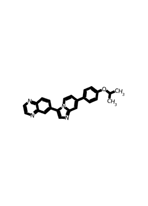 CC(C)Oc1ccc(-c2ccn3c(-c4ccc5nccnc5c4)cnc3c2)cc1